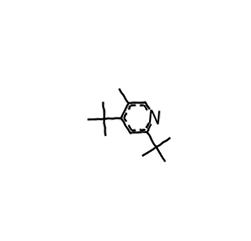 Cc1cnc(C(C)(C)C)cc1C(C)(C)C